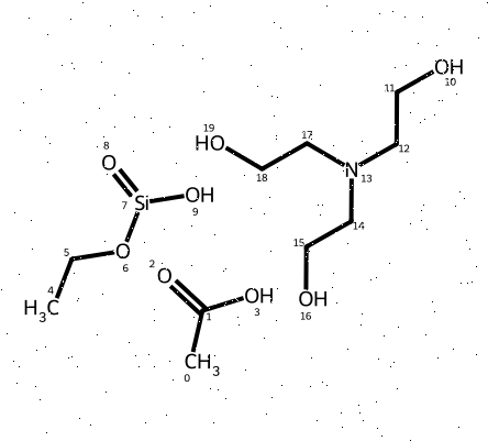 CC(=O)O.CCO[Si](=O)O.OCCN(CCO)CCO